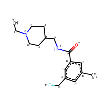 N#CCN1CCC(CNC(=O)c2cc(CF)cc(C(F)(F)F)c2)CC1